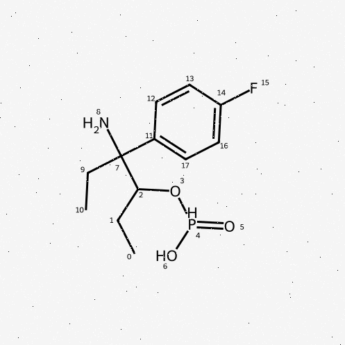 CCC(O[PH](=O)O)C(N)(CC)c1ccc(F)cc1